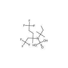 CCC(C)(C)N(C(C)(CCC(F)(F)F)CC(F)(F)F)P(=O)(O)O